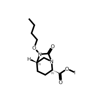 CCCCON1C(=O)N2C[C@@H]1CC[C@H]2C(=O)OI